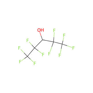 O[C](C(F)(F)C(F)(F)F)C(F)(F)C(F)(F)F